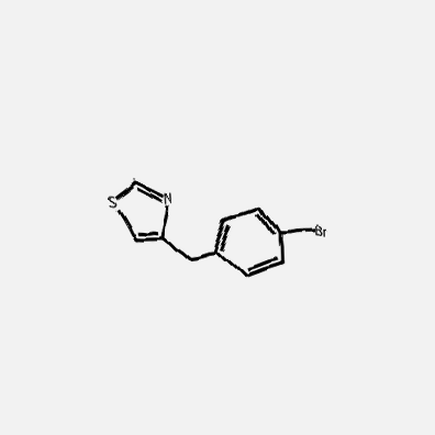 Brc1ccc(Cc2cs[c]n2)cc1